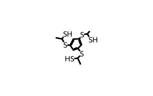 CC(S)Sc1cc(SC(C)S)cc(SC(C)S)c1